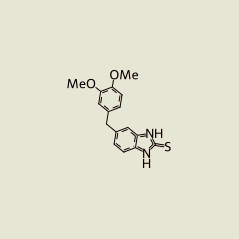 COc1ccc(Cc2ccc3[nH]c(=S)[nH]c3c2)cc1OC